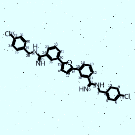 N=C(NCC1=CC=C(Cl)CC1)c1cccc(-c2ccc(-c3cccc(C(=N)NCc4ccc(Cl)cc4)c3)o2)c1